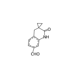 O=Cc1ccc2c(c1)NC(=O)C1(CC1)C2